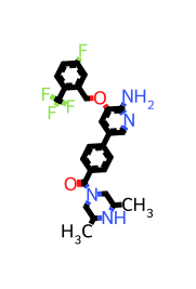 CC1CN(C(=O)c2ccc(-c3cnc(N)c(OCc4cc(F)ccc4C(F)(F)F)c3)cc2)CC(C)N1